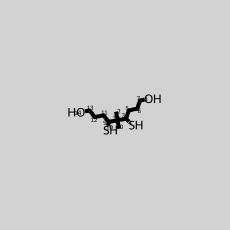 CC(C)(C(S)CCCO)C(S)CCCO